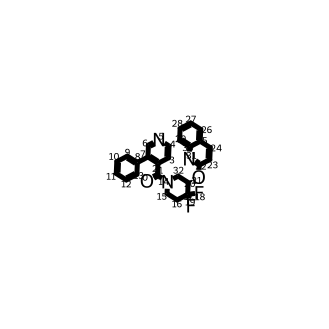 O=C(c1ccncc1-c1ccccc1)N1CCC(F)(F)[C@@H](Oc2ccc3ccccc3n2)C1